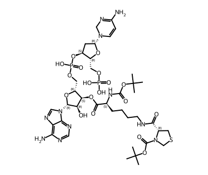 CC(C)(C)OC(=O)N[C@@H](CCCCNC(=O)[C@@H]1CSCN1C(=O)OC(C)(C)C)C(=O)O[C@H]1[C@@H](O)[C@H](n2cnc3c(N)ncnc32)O[C@@H]1COP(=O)(O)O[C@H]1C[C@H](N2C=CC(N)=NC2)O[C@@H]1COP(=O)(O)O